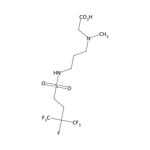 CN(CCCNS(=O)(=O)CCC(F)(C(F)(F)F)C(F)(F)F)CC(=O)O